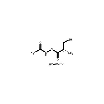 NC(=O)NOC(=O)[C@@H](N)CS.O=CO